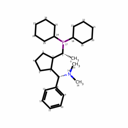 C[C@H](C1CCCC1[C@@H](c1ccccc1)N(C)C)P(C1CCCCC1)C1CCCCC1